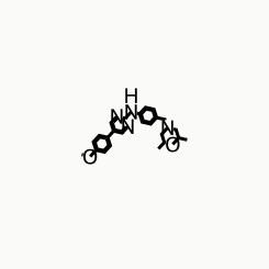 COc1ccc(-c2cnc(Nc3ccc(CN4CC(C)OC(C)C4)cc3)nc2)cc1